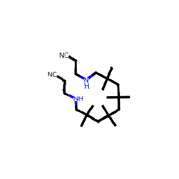 CC(C)(CNCCC#N)CC(C)(C)CC(C)(C)CC(C)(C)CNCCC#N